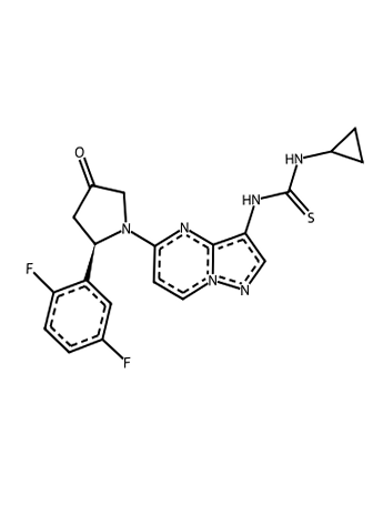 O=C1C[C@H](c2cc(F)ccc2F)N(c2ccn3ncc(NC(=S)NC4CC4)c3n2)C1